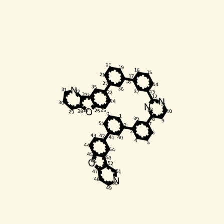 c1cc(-c2cccc(-c3ccnc(-c4cccc(-c5cccc(-c6ccc7oc8cccnc8c7c6)c5)c4)n3)c2)cc(-c2ccc3oc4ccncc4c3c2)c1